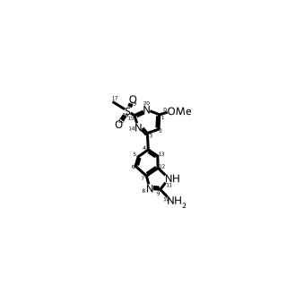 COc1cc(-c2ccc3nc(N)[nH]c3c2)nc(S(C)(=O)=O)n1